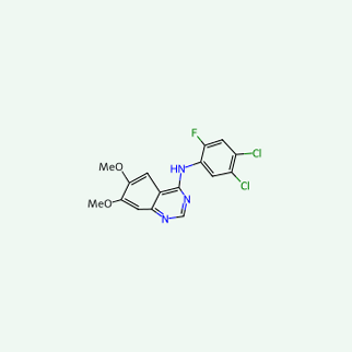 COc1cc2ncnc(Nc3cc(Cl)c(Cl)cc3F)c2cc1OC